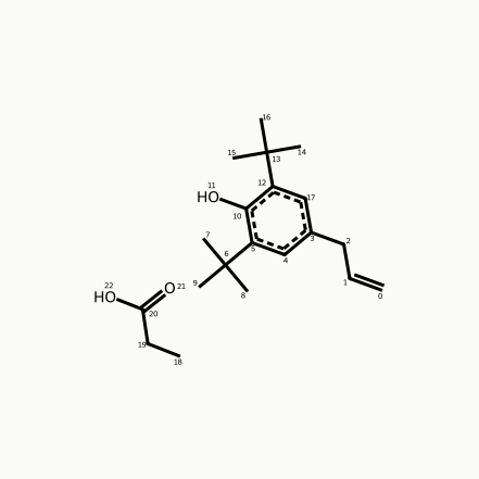 C=CCc1cc(C(C)(C)C)c(O)c(C(C)(C)C)c1.CCC(=O)O